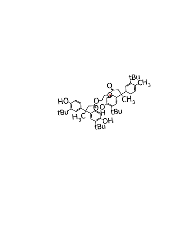 CC1=CCC(C(C)(CC(=O)OCCOC(=O)CC(C)(c2ccc(O)c(C(C)(C)C)c2)c2ccc(O)c(C(C)(C)C)c2)c2ccc(O)c(C(C)(C)C)c2)C=C1C(C)(C)C